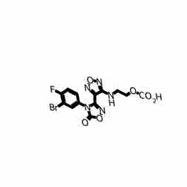 O=C(O)OCCNc1nonc1-c1noc(=O)n1-c1ccc(F)c(Br)c1